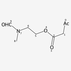 CC(=O)CC(=O)OCCN(C)C=O